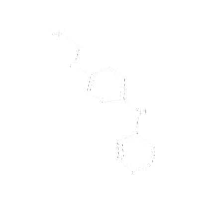 O=CCOc1ccc(Nc2ccccc2)cc1